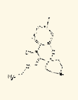 CCO/C=C1\C(=O)c2ccc(F)cc2OC12CCNCC2